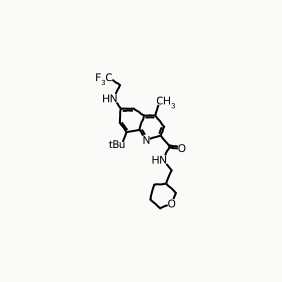 Cc1cc(C(=O)NCC2CCCOC2)nc2c(C(C)(C)C)cc(NCC(F)(F)F)cc12